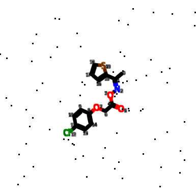 CC(=NOC(=O)COc1ccc(Cl)cc1)c1cccs1